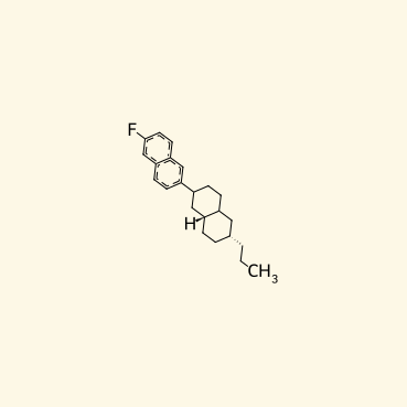 CCC[C@@H]1CC[C@@H]2CC(c3ccc4cc(F)ccc4c3)CCC2C1